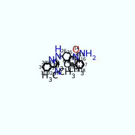 CN(C)c1cc(NC2CCC(N(C(N)=O)c3ccccc3C(C)(C)C)CC2)nc2ccccc12